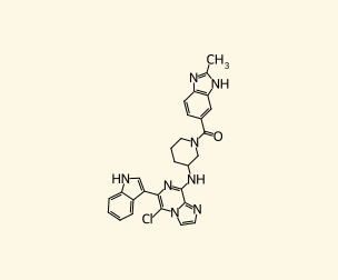 Cc1nc2ccc(C(=O)N3CCCC(Nc4nc(-c5c[nH]c6ccccc56)c(Cl)n5ccnc45)C3)cc2[nH]1